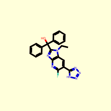 CCn1c(C(O)(c2ccccc2)c2ccccc2)nc2nc(F)c(-c3nnn[nH]3)cc21